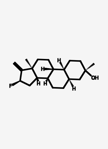 C=C1[C@H](F)C[C@H]2[C@@H]3CC[C@@H]4C[C@](C)(O)CC[C@@H]4[C@H]3CC[C@]12C